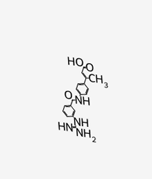 CC(=CC(=O)O)c1ccc(NC(=O)c2cccc(NC(=N)N)c2)cc1